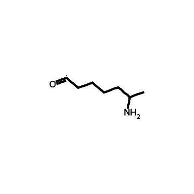 CC(N)CCCC[C]=O